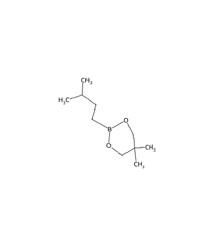 CC(C)CCB1OCC(C)(C)CO1